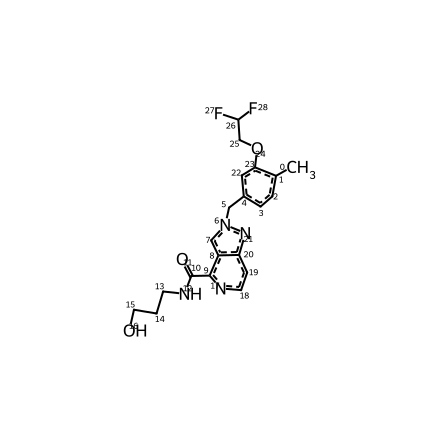 Cc1ccc(Cn2cc3c(C(=O)NCCCO)nccc3n2)cc1OCC(F)F